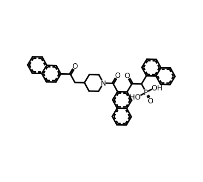 O=C(CC1CCN(C(=O)c2cc3ccccc3cc2C(=O)C(c2cccc3ccccc23)P(=O)(O)O)CC1)c1ccc2ccccc2c1